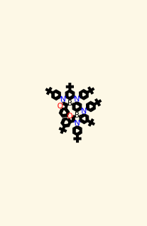 CC(C)(C)c1ccc(N2c3cc4c(cc3B3c5c2cc(C(C)(C)C)cc5N(c2ccc(C(C)(C)C)cc2)c2oc5ccccc5c23)B2c3oc5ccc(C(C)(C)C)cc5c3N(c3ccc(C(C)(C)C)cc3)c3cc(C(C)(C)C)cc(c32)N4c2ccc(C(C)(C)C)cc2)cc1